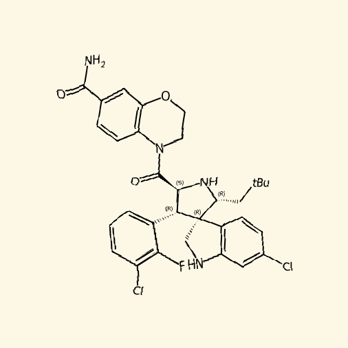 CC(C)(C)C[C@H]1N[C@H](C(=O)N2CCOc3cc(C(N)=O)ccc32)[C@@H](c2cccc(Cl)c2F)[C@@]12CNc1cc(Cl)ccc12